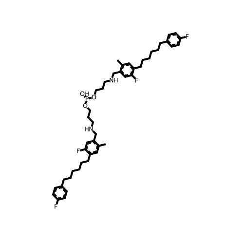 Cc1cc(CCCCCCc2ccc(F)cc2)c(F)cc1CNCCCO[PH](=O)OCCCNCc1cc(F)c(CCCCCCc2ccc(F)cc2)cc1C